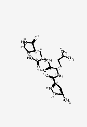 Cc1cc(C(=O)N[C@@H](CCC(C)C)C(=O)NN(C[C@@H]2CCNC2=O)C(=O)O)no1